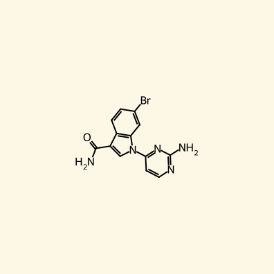 NC(=O)c1cn(-c2ccnc(N)n2)c2cc(Br)ccc12